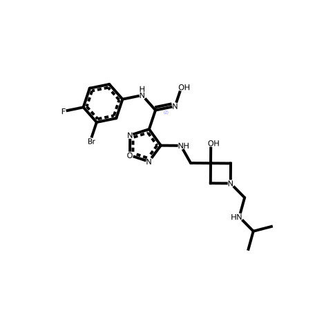 CC(C)NCN1CC(O)(CNc2nonc2/C(=N/O)Nc2ccc(F)c(Br)c2)C1